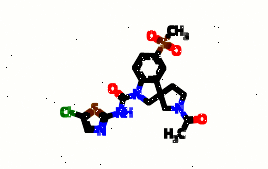 CC(=O)N1CCC2(C1)CN(C(=O)Nc1ncc(Cl)s1)c1ccc(S(C)(=O)=O)cc12